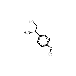 CCOc1ccc([C@@H](N)CO)cn1